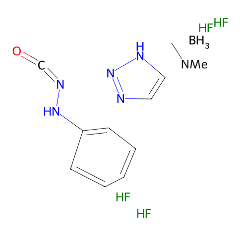 B.CNC.F.F.F.F.O=C=NNc1ccccc1.c1c[nH]nn1